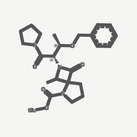 CC1N([C@H](C(=O)N2CCCC2)[C@@H](C)OCc2ccccc2)C(=O)C12CCCN2C(=O)OC(C)(C)C